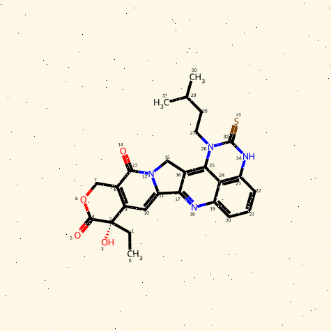 CC[C@@]1(O)C(=O)OCc2c1cc1n(c2=O)Cc2c-1nc1cccc3c1c2N(CCC(C)C)C(=S)N3